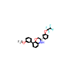 FC(F)C(F)(F)Oc1cccc([C@H]2COc3c(cccc3-c3cccc(OC(F)(F)F)c3)N2)c1